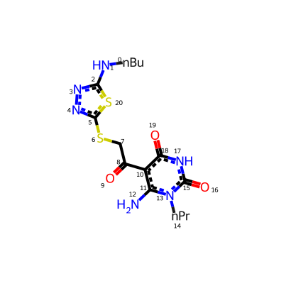 CCCCNc1nnc(SCC(=O)c2c(N)n(CCC)c(=O)[nH]c2=O)s1